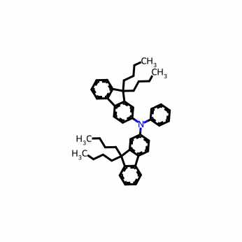 CCCCC1(CCCC)c2ccccc2-c2ccc(N(c3ccccc3)c3ccc4c(c3)C(CCCC)(CCCC)c3ccccc3-4)cc21